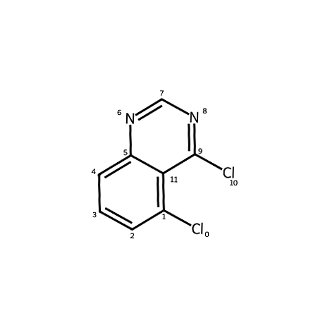 Clc1cccc2ncnc(Cl)c12